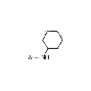 CC(=O)NC1C[CH]CCC1